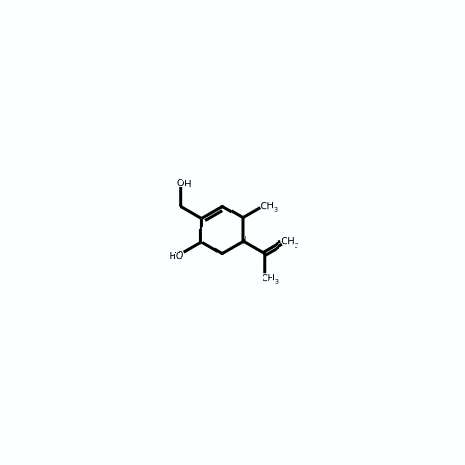 C=C(C)C1CC(O)C(CO)=CC1C